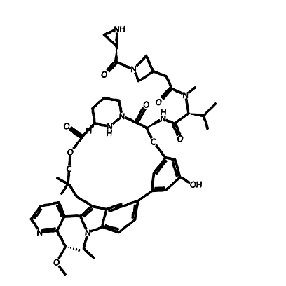 CCn1c(-c2cccnc2[C@H](C)OC)c2c3cc(ccc31)-c1cc(O)cc(c1)C[C@H](NC(=O)[C@H](C(C)C)N(C)C(=O)CC1CN(C(=O)[C@H]3CN3)C1)C(=O)N1CCC[C@H](N1)C(=O)OCC(C)(C)C2